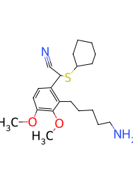 COc1ccc(C(C#N)SC2CCCCC2)c(CCCCCN)c1OC